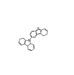 C1=CC2C3=C(CCC=C3)N(c3ccc4sc5c(c4c3)CCC=C5)C2C=C1